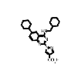 O=C(O)c1cnn(-c2nc(NCC3CCCCC3)c3cc(C4CCCCC4)ccc3n2)c1